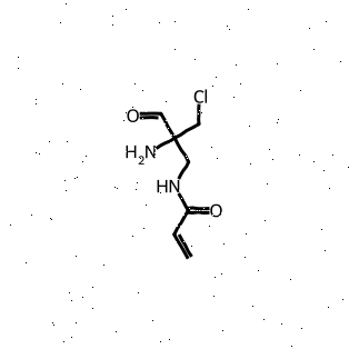 C=CC(=O)NCC(N)(C=O)CCl